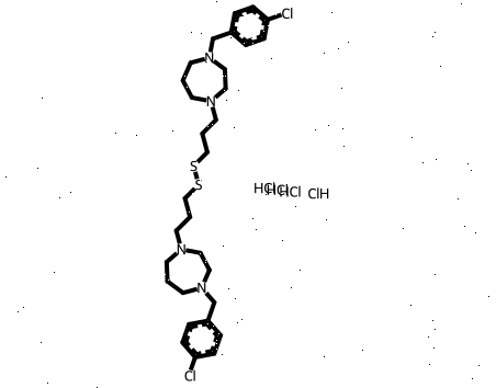 Cl.Cl.Cl.Cl.Clc1ccc(CN2CCCN(CCCSSCCCN3CCCN(Cc4ccc(Cl)cc4)CC3)CC2)cc1